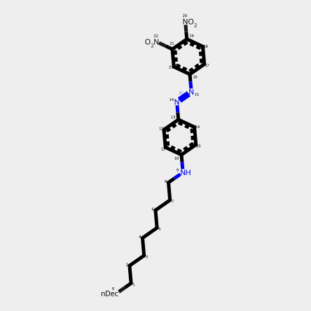 CCCCCCCCCCCCCCCCCCNc1ccc(/N=N/c2ccc([N+](=O)[O-])c([N+](=O)[O-])c2)cc1